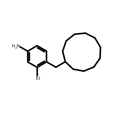 CCc1cc(N)ccc1CC1CCCCCCCCCC1